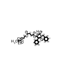 CCC(C)(C)C(=O)OCCOC(=O)CCC(=O)Oc1[nH]c(=O)n(Cc2ccccc2)c(=O)c1-c1ccccc1